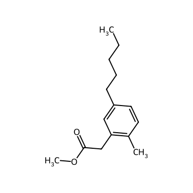 CCCCCc1ccc(C)c(CC(=O)OC)c1